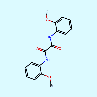 CCOc1ccccc1NC(=O)C(=O)Nc1ccccc1OCC